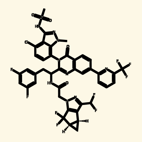 Cn1nc(NS(C)(=O)=O)c2c(Cl)ccc(-n3c(C(Cc4cc(F)cc(F)c4)NC(=O)Cn4nc(C(F)F)c5c4C(F)(F)[C@@H]4C[C@H]54)nc4cc(-c5cccc(C(F)(F)F)n5)ccc4c3=O)c21